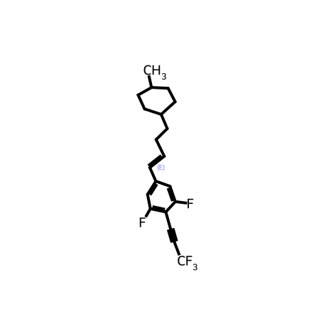 CC1CCC(CC/C=C/c2cc(F)c(C#CC(F)(F)F)c(F)c2)CC1